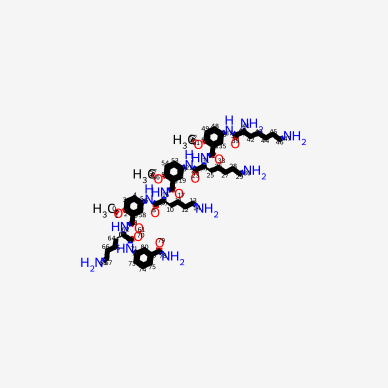 COc1ccc(NC(=O)[C@H](CCCCN)NC(=O)c2cc(NC(=O)[C@H](CCCCCN)NC(=O)c3cc(NC(=O)[C@@H](N)CCCCCN)ccc3OC)ccc2OC)cc1C(=O)N[C@@H](CCCCN)C(=O)Nc1cccc(C(N)=O)c1